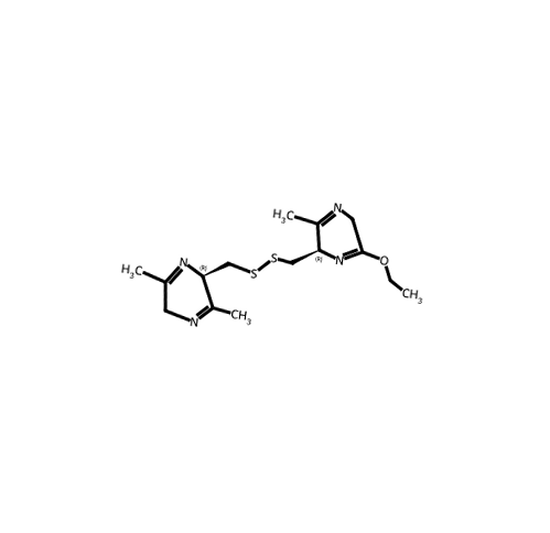 CCOC1=N[C@@H](CSSC[C@@H]2N=C(C)CN=C2C)C(C)=NC1